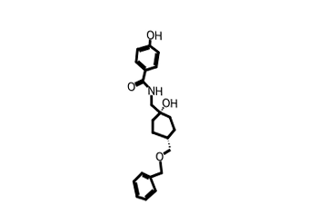 O=C(NC[C@]1(O)CC[C@@H](COCc2ccccc2)CC1)c1ccc(O)cc1